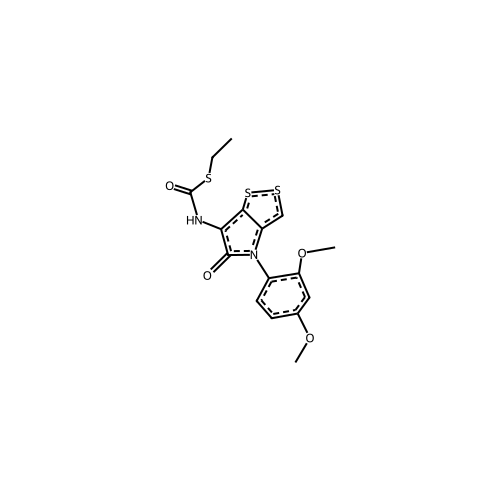 CCSC(=O)Nc1c2sscc-2n(-c2ccc(OC)cc2OC)c1=O